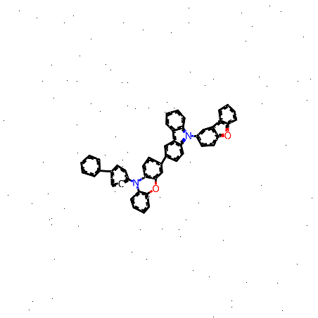 c1ccc(-c2ccc(N3c4ccccc4Oc4cc(-c5ccc6c(c5)c5ccccc5n6-c5ccc6oc7ccccc7c6c5)ccc43)cc2)cc1